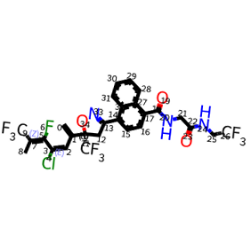 C=C(/C=C(Cl)\C(F)=C(/C)C(F)(F)F)[C@]1(C(F)(F)F)CC(c2ccc(C(=O)NCC(=O)NCC(F)(F)F)c3ccccc23)=NO1